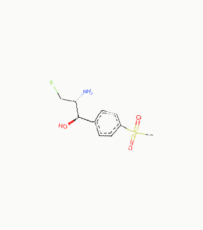 CS(=O)(=O)c1ccc([C@@H](O)[C@@H](N)CF)cc1